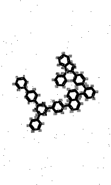 c1ccc(-c2ccc(-c3nc(-c4ccccc4)nc(-c4ccc(-c5cccc6c(-c7ccccc7-c7ccc(-c8nc9ccccc9n8-c8ccccc8)cc7)cccc56)cc4)n3)cc2)cc1